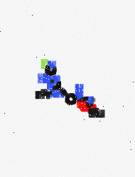 CCCNc1nc(Nc2ccnc(F)c2)ncc1C#C[C@@H]1CCC[C@H](NC(=O)CN(C)C(=O)OC(C)(C)C)C1